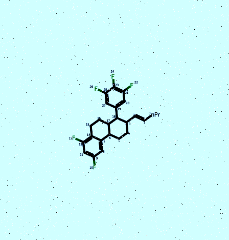 CCCC=CC1CCC2c3cc(F)cc(F)c3CCC2C1c1cc(F)c(F)c(F)c1